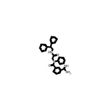 N=C(N)c1cccc(C(=O)N(CC(=O)NCC(c2ccccc2)c2ccccc2)c2ccccc2)c1